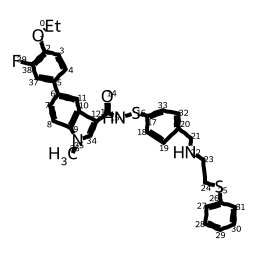 CCOc1ccc(-c2ccc3c(c2)c(C(=O)NSc2ccc(CNCCSc4ccccc4)cc2)cn3C)cc1F